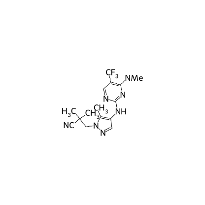 CNc1nc(Nc2cnn(CC(C)(C)C#N)c2C)ncc1C(F)(F)F